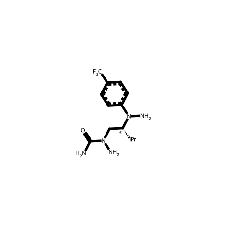 CC(C)[C@H](CN(N)C(N)=O)N(N)c1ccc(C(F)(F)F)cc1